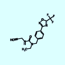 C#CCNC(=O)N(CC)Cc1ccc(-c2noc(C(F)(F)F)n2)cc1